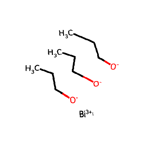 CCC[O-].CCC[O-].CCC[O-].[Bi+3]